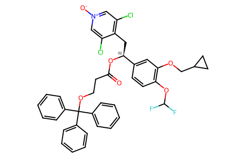 O=C(CCOC(c1ccccc1)(c1ccccc1)c1ccccc1)O[C@@H](Cc1c(Cl)c[n+]([O-])cc1Cl)c1ccc(OC(F)F)c(OCC2CC2)c1